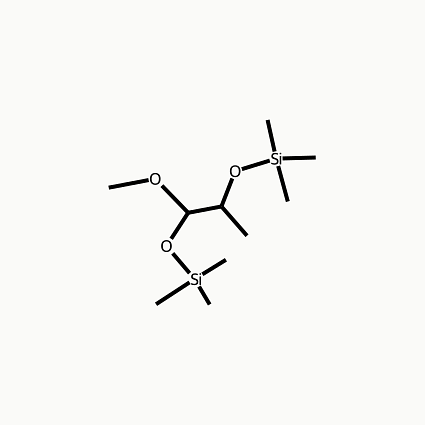 COC(O[Si](C)(C)C)C(C)O[Si](C)(C)C